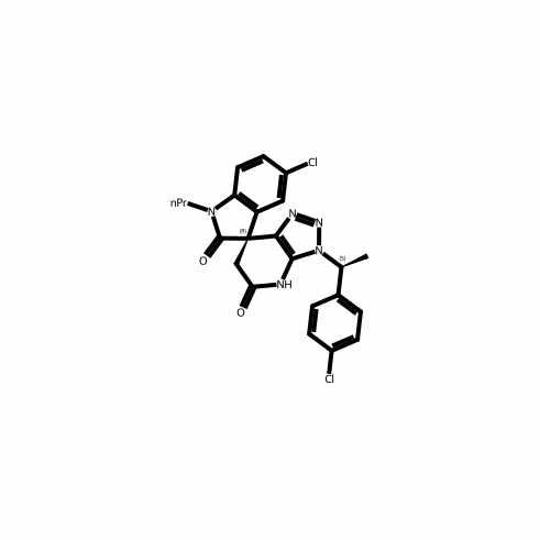 CCCN1C(=O)[C@]2(CC(=O)Nc3c2nnn3[C@@H](C)c2ccc(Cl)cc2)c2cc(Cl)ccc21